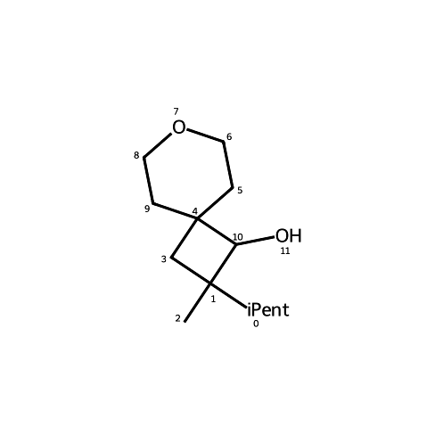 CCCC(C)C1(C)CC2(CCOCC2)C1O